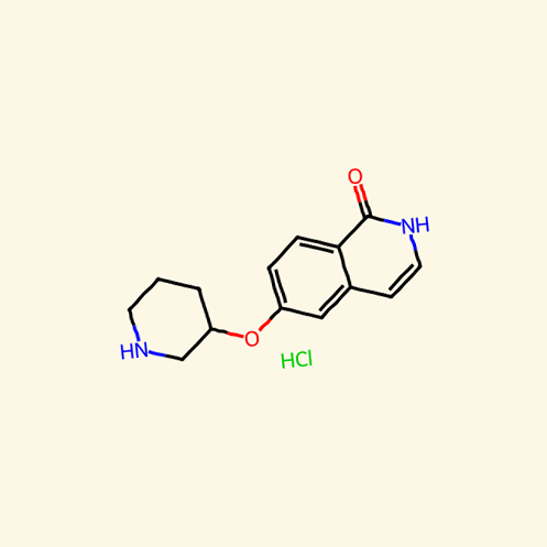 Cl.O=c1[nH]ccc2cc(OC3CCCNC3)ccc12